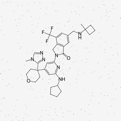 Cn1cnnc1C1(c2cc(NC3CCCC3)nc(N3Cc4c(cc(CNC5(C)CCC5)cc4C(F)(F)F)C3=O)c2)CCOCC1